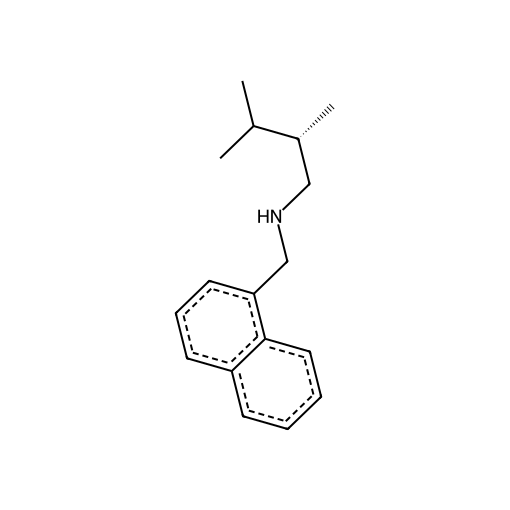 CC(C)[C@H](C)CNCc1cccc2ccccc12